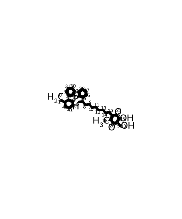 C=CC1C=C([PH](CCCCCCCCCCC2=C(C)C(=O)C(CO)=C(O)C2=O)(c2ccccc2)c2ccccc2)C=CC1